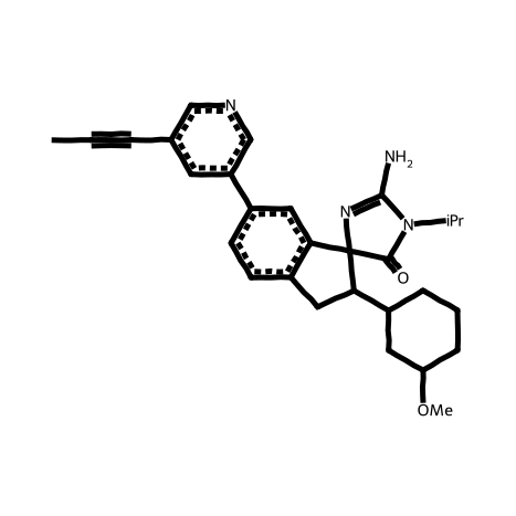 CC#Cc1cncc(-c2ccc3c(c2)C2(N=C(N)N(C(C)C)C2=O)C(C2CCCC(OC)C2)C3)c1